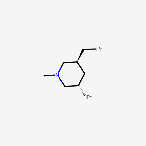 CC(C)C[C@H]1C[C@H](C(C)C)CN(C)C1